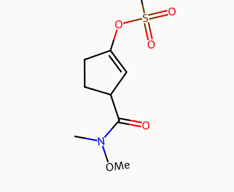 CON(C)C(=O)C1C=C(OS(=O)(=O)C(F)(F)F)CC1